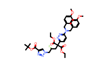 CCOC(=O)C(CC(F)Cn1cc(C(=O)OC(C)(C)C)nn1)(C(=O)OCC)c1ccc(N(Cc2ccc(OC)cc2)Cc2ccc(OC)cc2)nn1